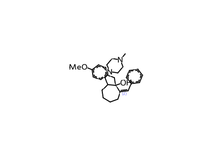 COc1ccc(CC2(O)/C(=C\c3ccccc3)CCCCC2CN2CCN(C)CC2)cc1